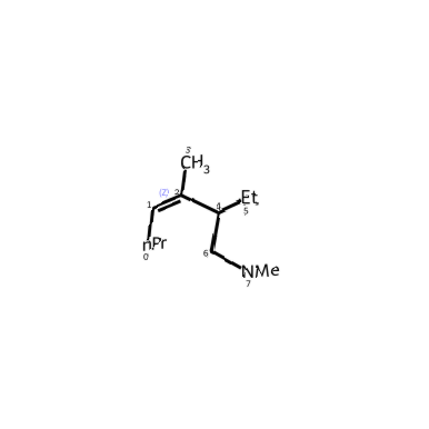 CCC/C=C(/C)C(CC)CNC